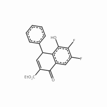 CCOC(=O)C1=CC(c2ccccc2)c2c(cc(F)c(F)c2O)C1=O